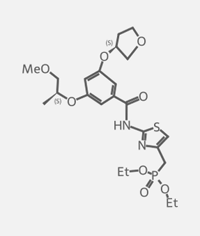 CCOP(=O)(Cc1csc(NC(=O)c2cc(O[C@H]3CCOC3)cc(O[C@@H](C)COC)c2)n1)OCC